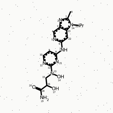 Cc1nc2cnc(Nc3ccnc(N(O)CC(O)C(N)=O)n3)cc2n1C(C)C